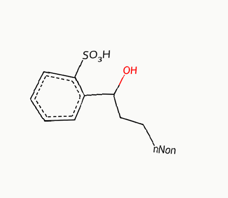 CCCCCCCCCCCC(O)c1ccccc1S(=O)(=O)O